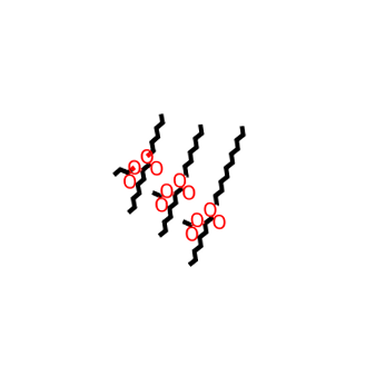 CCCCCCCCCCCCOC(=O)C(CCCCCC)OC(C)=O.CCCCCCCCOC(=O)C(CCCCCC)OC(C)=O.CCCCCCOC(=O)C(CCCCCC)OC(=O)CC